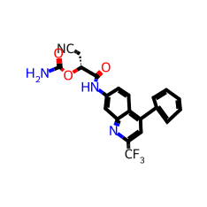 N#CC[C@@H](OC(N)=O)C(=O)Nc1ccc2c(-c3ccccc3)cc(C(F)(F)F)nc2c1